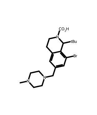 CN1CCN(Cc2cc(Br)c3c(c2)CCN(C(=O)O)C3C(C)(C)C)CC1